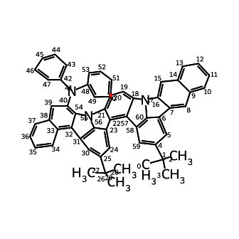 CC(C)(C)c1cc2c3cc4ccccc4cc3n3c4ccc5c(c6cc(C(C)(C)C)cc7c8c9ccccc9cc(N(c9ccccc9)c9ccccc9)c8n5c67)c4c(c1)c23